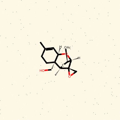 CC(=O)O[C@@H]1C[C@]2(C)[C@@]3(CO)CCC(C)=C[C@H]3O[C@H]1[C@@]21CO1